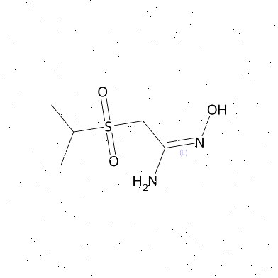 CC(C)S(=O)(=O)C/C(N)=N\O